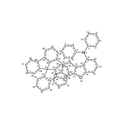 c1ccc(N(c2ccccc2)c2cccc3oc4c5ccccc5c(-c5cccc6c5C5(c7ccccc7-c7ccccc75)c5ccccc5-6)cc4c23)cc1